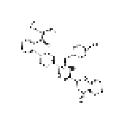 CN(C(=O)c1ccccc1N1CCN(C(=O)[C@@H](Cc2ccc(Cl)cc2)NC(=O)c2cc(=O)c3ccccc3o2)CC1)C1CC1